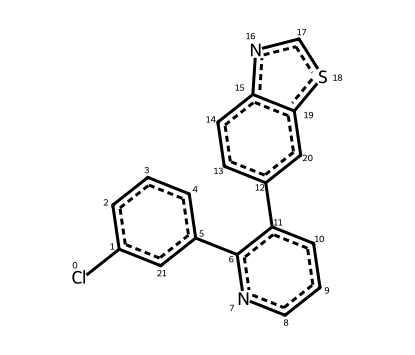 Clc1cccc(-c2ncccc2-c2ccc3ncsc3c2)c1